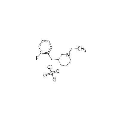 CCN1CCCC(Cc2ccccc2F)C1.O=S(=O)(Cl)Cl